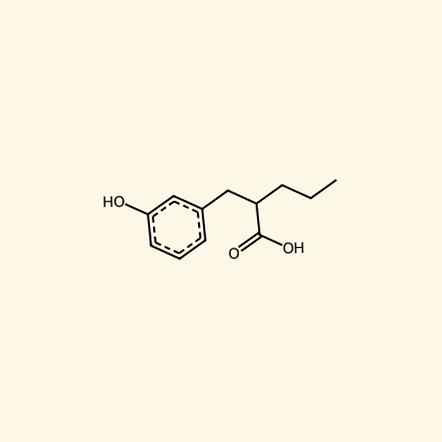 CCCC(Cc1cccc(O)c1)C(=O)O